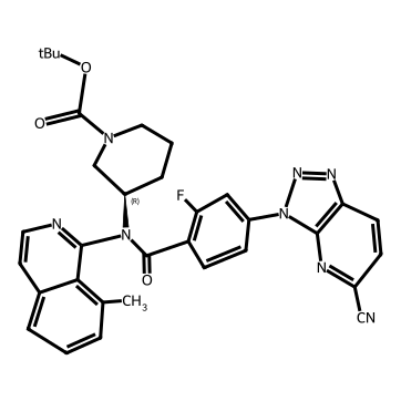 Cc1cccc2ccnc(N(C(=O)c3ccc(-n4nnc5ccc(C#N)nc54)cc3F)[C@@H]3CCCN(C(=O)OC(C)(C)C)C3)c12